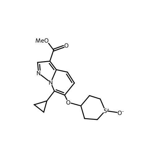 COC(=O)c1cnn2c(C3CC3)c(OC3CC[S+]([O-])CC3)ccc12